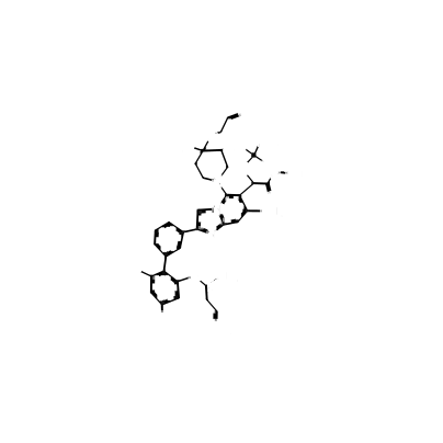 C=CCOC1(C)CCN(c2c(C(OC(C)(C)C)C(=O)OC)c(C)cc3nc(-c4cccc(-c5c(F)cc(F)cc5O[C@@H](C)CC=C)c4)cn23)CC1